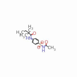 CCC(C)(C)C(=O)Nc1ccc(S(=O)(=O)NC(C)=O)cc1